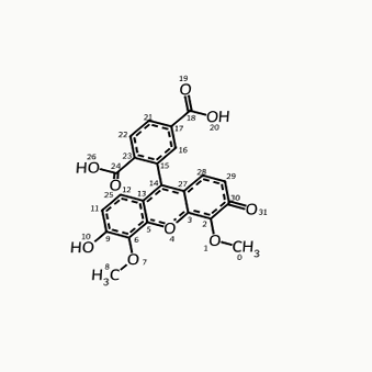 COc1c2oc3c(OC)c(O)ccc3c(-c3cc(C(=O)O)ccc3C(=O)O)c-2ccc1=O